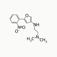 CN(C)CCNc1coc(-c2ccccc2[N+](=O)[O-])c1